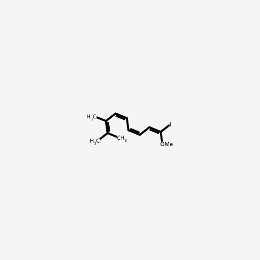 CO\C(I)=C/C=C\C=C/C(C)=C(C)C